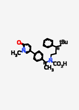 C[C@@H](c1ccc(-c2ccc(=O)n(C)c2)cc1)N(CC[C@H](CC(C)(C)C)c1ccccc1)C(=O)O